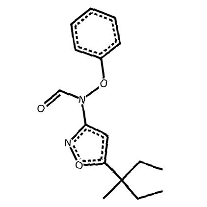 CCC(C)(CC)c1cc(N(C=O)Oc2ccccc2)no1